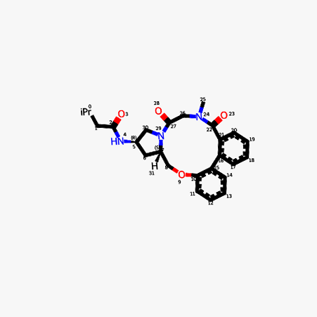 CC(C)CC(=O)N[C@@H]1C[C@H]2COc3ccccc3-c3ccccc3C(=O)N(C)CC(=O)N2C1